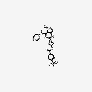 CN(c1nc(N2CC(OC(=O)c3ccc(S(C)(=O)=O)cc3)C2)nc2c1[S+]([O-])CC2)C1CCOCC1